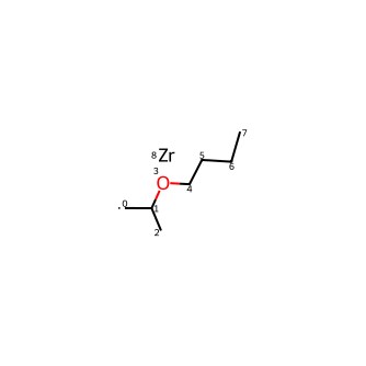 [CH2]C(C)OCCCC.[Zr]